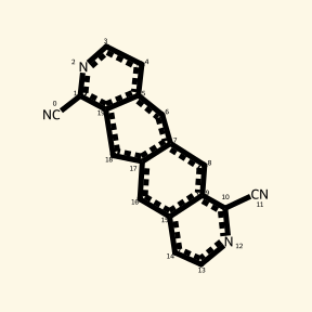 N#Cc1nccc2cc3cc4c(C#N)nccc4cc3cc12